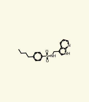 CCCCc1ccc(S(=O)(=O)NCc2c[nH]c3ncccc23)cc1